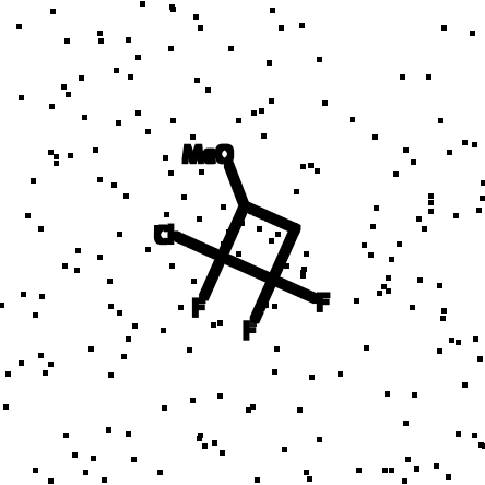 COC1CC(F)(F)C1(F)Cl